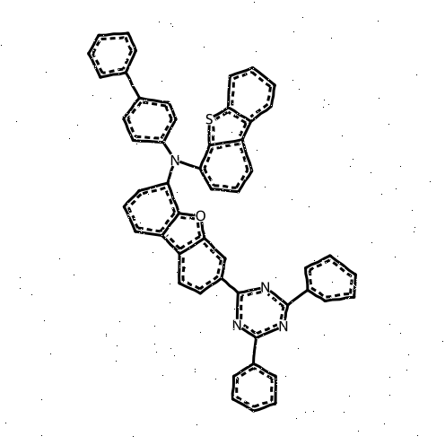 c1ccc(-c2ccc(N(c3cccc4c3oc3cc(-c5nc(-c6ccccc6)nc(-c6ccccc6)n5)ccc34)c3cccc4c3sc3ccccc34)cc2)cc1